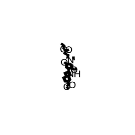 CCOC(=O)CCCN(CC)c1cc(OC)c(-c2cc3ccc(C(=O)OC)cc3[nH]2)cc1OC